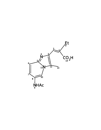 CCC(=Cc1nc2ccc(NC(C)=O)cn2c1C)C(=O)O